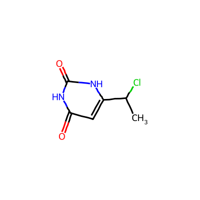 CC(Cl)c1cc(=O)[nH]c(=O)[nH]1